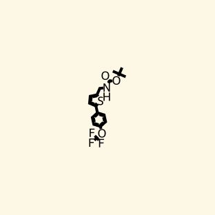 CC(C)(C)OC(=O)NCc1ccc(-c2ccc(OC(F)(F)F)cc2)s1